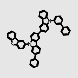 c1ccc(-c2cccc(-n3c4ccccc4c4cc(-c5ccc6c(c5)c5ccc(-c7ccccc7)cc5n6-c5ccc6sc7ccccc7c6c5)ccc43)c2)cc1